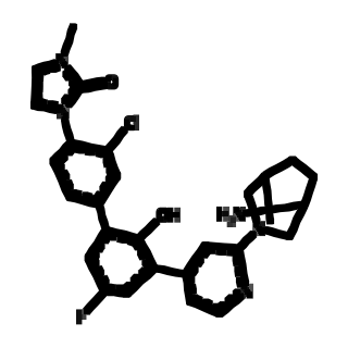 Cn1ccn(-c2ccc(-c3cc(F)cc(-c4ccnc(N5CC6CCC(C5)C6(C)N)c4)c3O)cc2Cl)c1=O